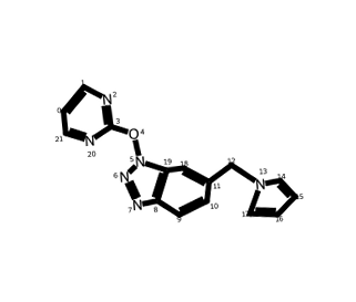 c1cnc(On2nnc3ccc(Cn4cccc4)cc32)nc1